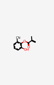 C=C(C)C(=O)Oc1c(O)cccc1C#N